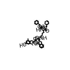 Cc1cc(O)cc(C)c1CC(N)C(=O)N1Cc2ccccc2CC1C(=O)NCCCCC(NC(=O)OCc1ccccc1)C(=O)NCC1=CC=CCC1